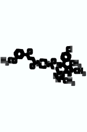 COc1cccc(C(=O)/C=C/C(=O)N2CCN(C(=O)C[C@@H]3N=C(c4ccc(Cl)cc4)c4c(sc(C)c4C)-n4c(C)nnc43)CC2)c1